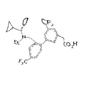 CCN(Cc1cc(C(F)(F)F)ccc1-c1cc(CC(=O)O)cc(C(F)(F)F)c1)C(=O)C1CC1